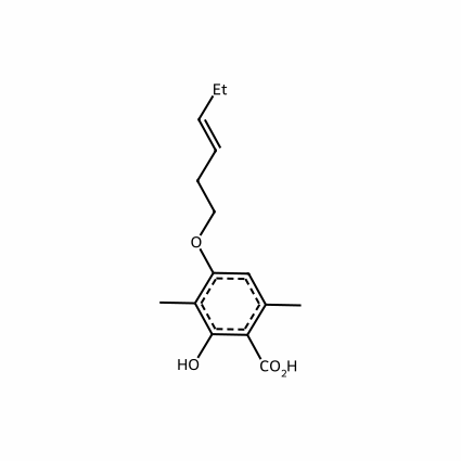 CCC=CCCOc1cc(C)c(C(=O)O)c(O)c1C